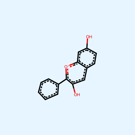 Oc1ccc2cc(O)c(-c3ccccc3)[o+]c2c1